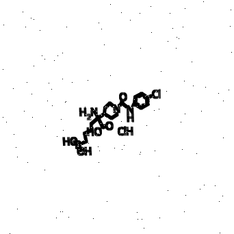 Cl.NC(CCCCB(O)O)(C(=O)O)C1CCN(C(=O)Nc2ccc(Cl)cc2)CC1